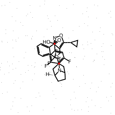 O=C(O)c1cc(F)c(N2C3CC[C@H]2CC(OCc2c(-c4ccccc4C(F)(F)F)noc2C2CC2)C3)c(F)c1